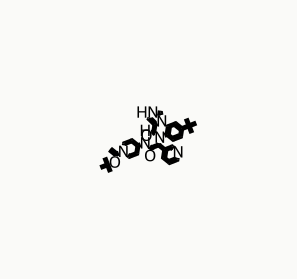 C=C(OC(C)(C)C)N1CCC(NC(=O)C(c2cccnc2)N(C(=O)c2c[nH]cn2)c2ccc(C(C)(C)C)cc2)CC1